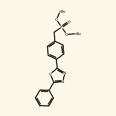 CCCCOP(=O)(Cc1ccc(-c2nnc(-c3ccccc3)o2)cc1)OCCCC